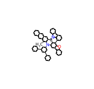 Cc1c2c(cc3cc4ccccc4cc13)B1c3c(cc4c(oc5ccccc54)c3-c3cccc4c5ccccc5n1c34)N2c1cc(-c2ccccc2)cc(-c2ccccc2)c1